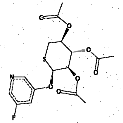 CC(=O)O[C@@H]1[C@@H](OC(C)=O)[C@@H](Oc2cncc(F)c2)SC[C@H]1OC(C)=O